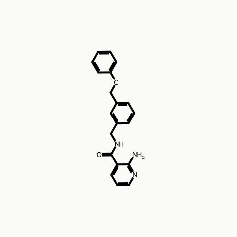 Nc1ncccc1C(=O)NCc1cccc(COc2ccccc2)c1